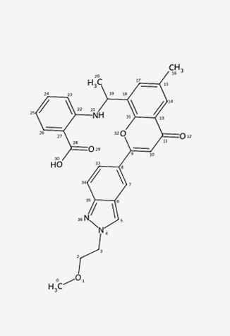 COCCn1cc2cc(-c3cc(=O)c4cc(C)cc(C(C)Nc5ccccc5C(=O)O)c4o3)ccc2n1